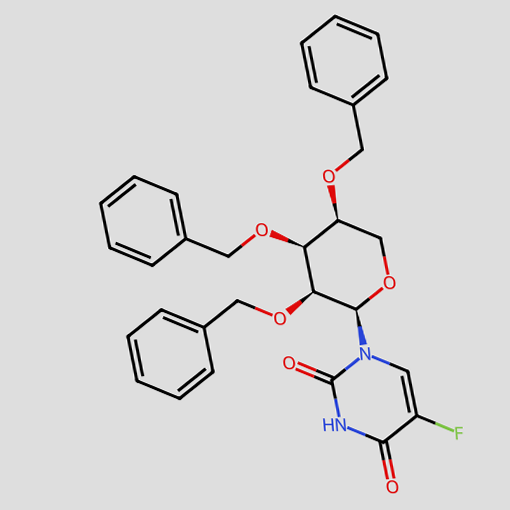 O=c1[nH]c(=O)n([C@@H]2OC[C@H](OCc3ccccc3)[C@H](OCc3ccccc3)[C@@H]2OCc2ccccc2)cc1F